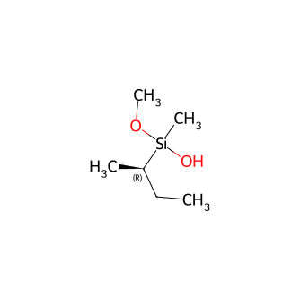 CC[C@@H](C)[Si](C)(O)OC